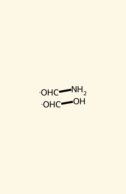 N[C]=O.O=[C]O